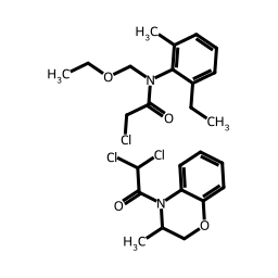 CC1COc2ccccc2N1C(=O)C(Cl)Cl.CCOCN(C(=O)CCl)c1c(C)cccc1CC